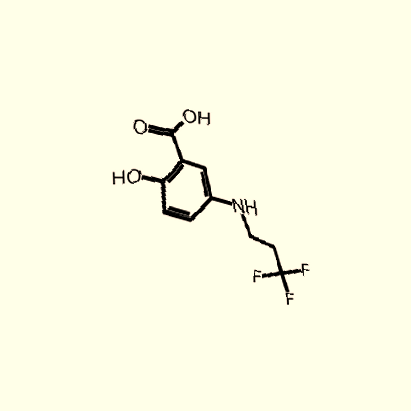 O=C(O)c1cc(NCCC(F)(F)F)ccc1O